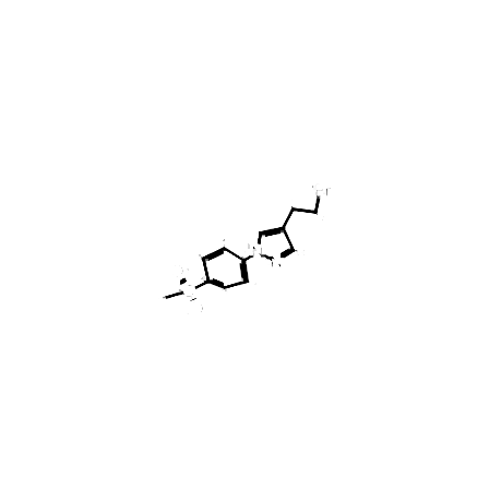 CS(=O)(=O)c1ccc(-n2cc(CCBr)cn2)cc1